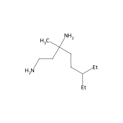 CCC(CC)CCC(C)(N)CCN